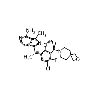 Cc1nc([C@@H](C)c2cc(Cl)c(F)c(C(=O)N3CCC4(CC3)COC4)c2OC(C)C)n2ccnc(N)c12